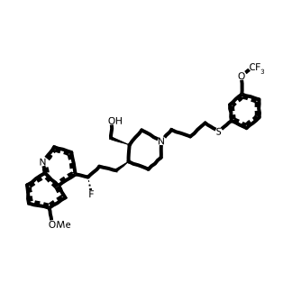 COc1ccc2nccc([C@@H](F)CC[C@@H]3CCN(CCCSc4cccc(OC(F)(F)F)c4)C[C@@H]3CO)c2c1